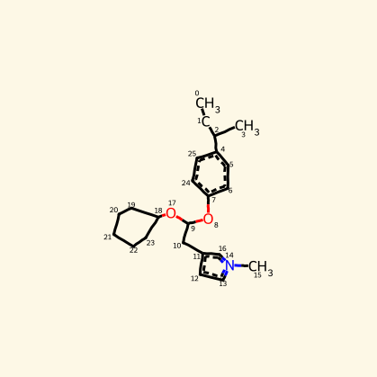 CCC(C)c1ccc(OC(Cc2ccn(C)c2)OC2CCCCC2)cc1